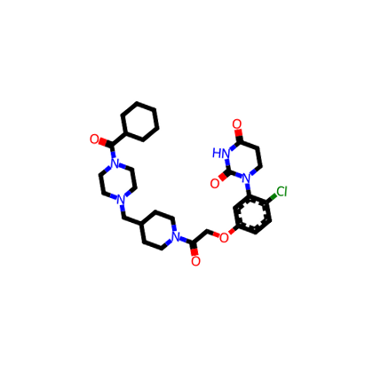 O=C1CCN(c2cc(OCC(=O)N3CCC(CN4CCN(C(=O)C5CCCCC5)CC4)CC3)ccc2Cl)C(=O)N1